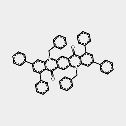 O=c1c2cc3c(cc2n(Cc2ccccc2)c2cc(-c4ccccc4)cc(-c4ccccc4)c12)c(=O)c1c(-c2ccccc2)cc(-c2ccccc2)cc1n3Cc1ccccc1